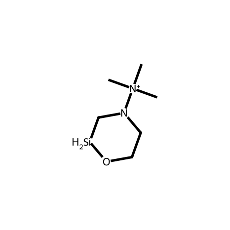 C[N+](C)(C)N1CCO[SiH2]C1